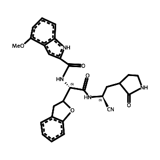 COc1cccc2[nH]c(C(=O)N[C@H](C(=O)N[C@H](C#N)CC3CCNC3=O)C3Cc4ccccc4O3)cc12